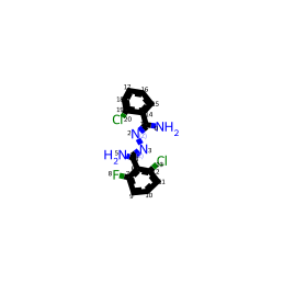 N/C(=N\N=C(/N)c1c(F)cccc1Cl)c1ccccc1Cl